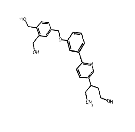 CCC(CCO)c1ccc(-c2cccc(OCc3ccc(CO)c(CO)c3)c2)nc1